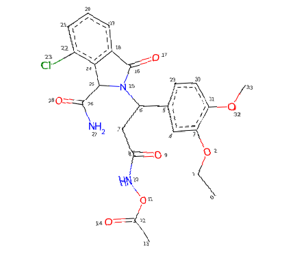 CCOc1cc(C(CC(=O)NOC(C)=O)N2C(=O)c3[c]ccc(Cl)c3C2C(N)=O)ccc1OC